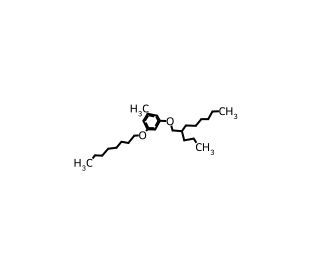 CCCCCCCCOc1cc(C)cc(OCC(CCC)CCCCCC)c1